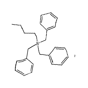 CCCC[N+](Cc1ccccc1)(Cc1ccccc1)Cc1ccccc1.[I-]